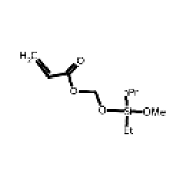 C=CC(=O)OCO[Si](CC)(CCC)OC